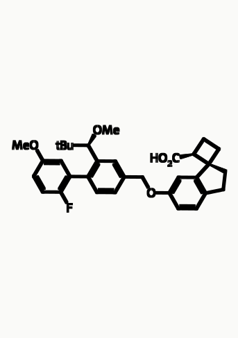 COc1ccc(F)c(-c2ccc(COc3ccc4c(c3)[C@@]3(CC4)CC[C@@H]3C(=O)O)cc2[C@H](OC)C(C)(C)C)c1